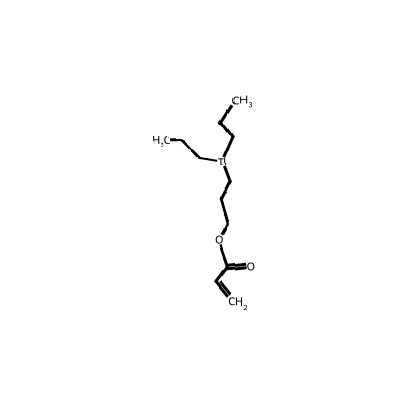 C=CC(=O)OCC[CH2][Tl]([CH2]CC)[CH2]CC